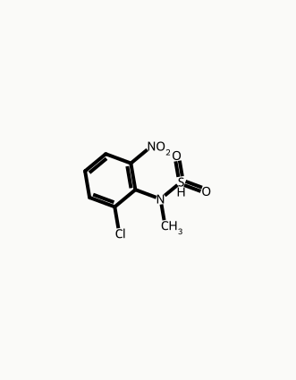 CN(c1c(Cl)cccc1[N+](=O)[O-])[SH](=O)=O